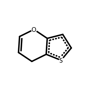 C1=COc2ccsc2C1